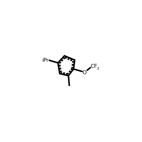 Cc1cc(C(C)C)ccc1OC(F)(F)F